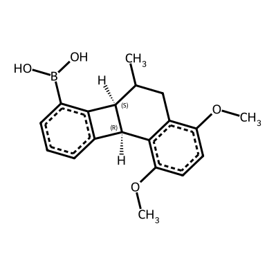 COc1ccc(OC)c2c1CC(C)[C@@H]1c3c(B(O)O)cccc3[C@H]21